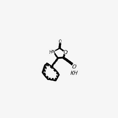 O=C1NC(c2ccccc2)C(=O)O1.[KH]